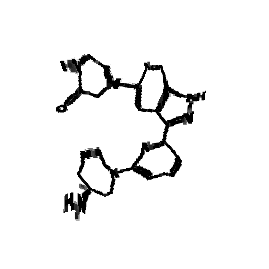 N[C@H]1CCCN(c2cccc(-c3n[nH]c4cnc(N5CCNC(=O)C5)cc34)n2)C1